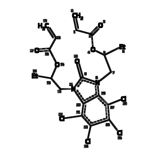 C=CC(=O)OC(CC)Cn1c(=O)n(CC(CC)OC(=O)C=C)c2c(Cl)c(Cl)c(Cl)c(Cl)c21